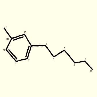 CCCCCCc1cccc(C)c1